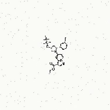 CCOC(=O)c1cnn2ccc(N3C[C@H](O[Si](C)(C)C(C)(C)C)C[C@@H]3c3cccc(F)c3)nc12